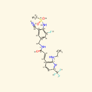 CCNc1nc(C(F)(F)F)ccc1C=CC(=O)NCc1cc(F)c(NS(C)(=O)=O)c(C#N)c1